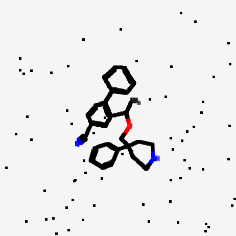 CC(OCC1(c2ccccc2)CCNCC1)c1cc(C#N)ccc1-c1ccccc1